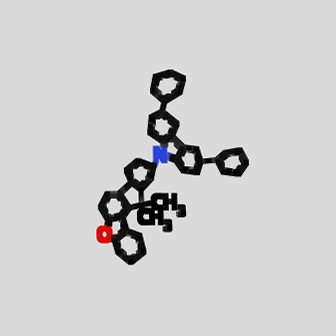 CC1(C)c2cc(-n3c4ccc(-c5ccccc5)cc4c4cc(-c5ccccc5)ccc43)ccc2-c2ccc3oc4ccccc4c3c21